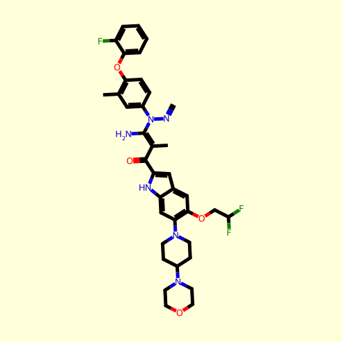 C=NN(/C(N)=C(\C)C(=O)c1cc2cc(OCC(F)F)c(N3CCC(N4CCOCC4)CC3)cc2[nH]1)c1ccc(Oc2ccccc2F)c(C)c1